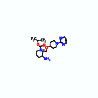 NC1CCCN(C(=O)OC(C(F)(F)F)C(F)(F)F)[C@H]1COC1CCN(c2ncccn2)CC1